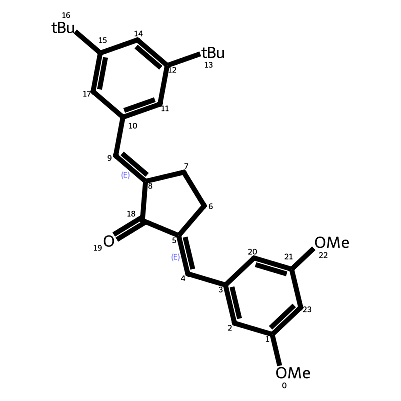 COc1cc(/C=C2\CC/C(=C\c3cc(C(C)(C)C)cc(C(C)(C)C)c3)C2=O)cc(OC)c1